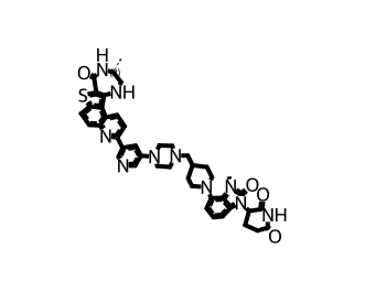 C[C@@H]1CNc2c(sc3ccc4nc(-c5cncc(N6CCN(CC7CCN(c8cccc9c8n(C)c(=O)n9C8CCC(=O)NC8=O)CC7)CC6)c5)ccc4c23)C(=O)N1